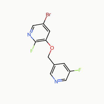 Fc1cncc(COc2cc(Br)cnc2F)c1